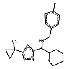 N#CC1(n2cc(C(NCc3ccc(F)cc3)C3CCCCC3)nn2)CC1